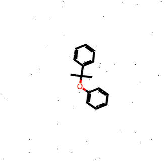 CC(C)(Oc1c[c]ccc1)c1ccccc1